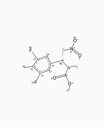 COC(=O)C(C)[C@@H](C[N+](=O)[O-])c1cc(F)c(C)c(F)c1